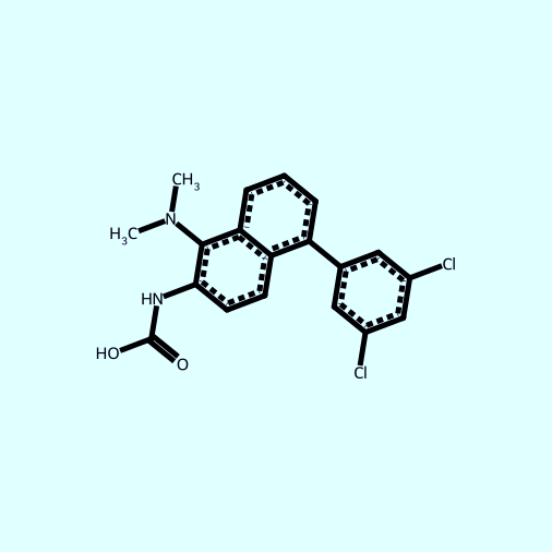 CN(C)c1c(NC(=O)O)ccc2c(-c3cc(Cl)cc(Cl)c3)cccc12